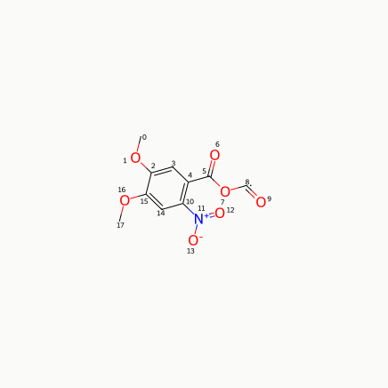 COc1cc(C(=O)O[C]=O)c([N+](=O)[O-])cc1OC